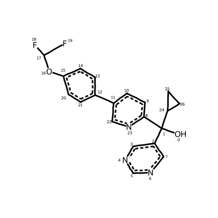 OC(c1cncnc1)(c1ccc(-c2ccc(OC(F)F)cc2)cn1)C1CC1